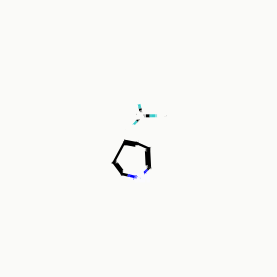 C1=CC=CNC=C1.FB(F)F